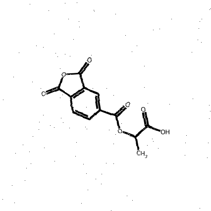 CC(OC(=O)c1ccc2c(c1)C(=O)OC2=O)C(=O)O